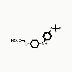 CC(F)(F)Sc1ccc(N[C@H]2CC[C@H](OCC(=O)O)CC2)cc1